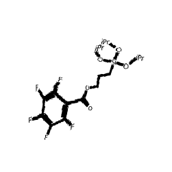 CC(C)O[Si](CCCOC(=O)c1c(F)c(F)c(F)c(F)c1F)(OC(C)C)OC(C)C